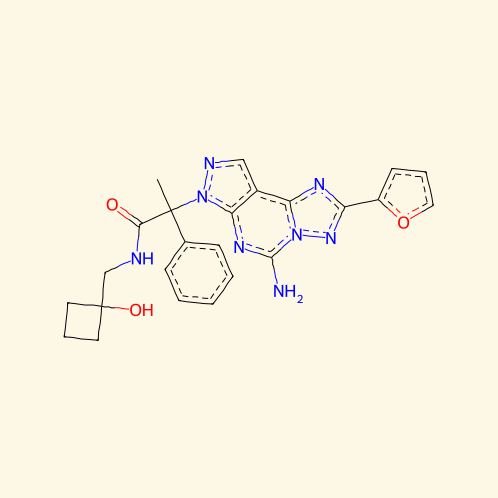 CC(C(=O)NCC1(O)CCC1)(c1ccccc1)n1ncc2c1nc(N)n1nc(-c3ccco3)nc21